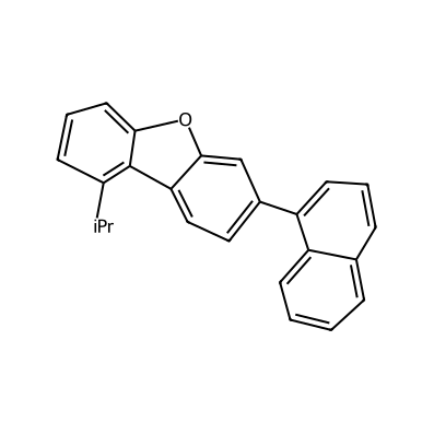 CC(C)c1cccc2oc3cc(-c4cccc5ccccc45)ccc3c12